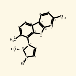 CCN1C=CN(c2c(C)ccc3c2oc2nc(C)ccc23)[C@H]1C